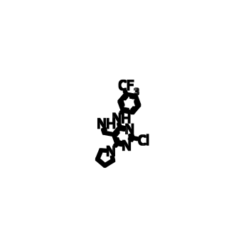 N=Cc1c(Nc2cccc(C(F)(F)F)c2)nc(Cl)nc1N1CCCC1